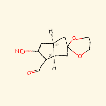 O=CC1C(O)C[C@H]2CC3(C[C@@H]12)OCCO3